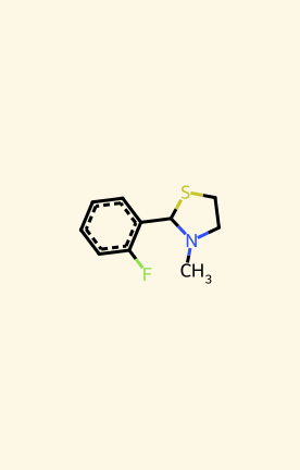 CN1CCSC1c1ccccc1F